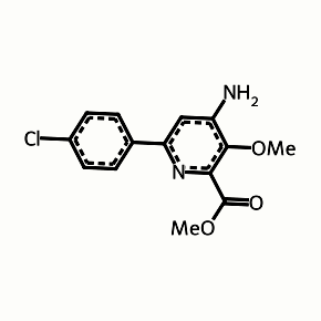 COC(=O)c1nc(-c2ccc(Cl)cc2)cc(N)c1OC